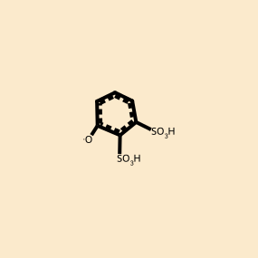 [O]c1cccc(S(=O)(=O)O)c1S(=O)(=O)O